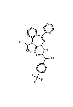 CC(C)N1C(=O)C(NC(=O)C(O)c2ccc(C(F)(F)F)cc2)N=C(c2ccccc2)c2ccccc21